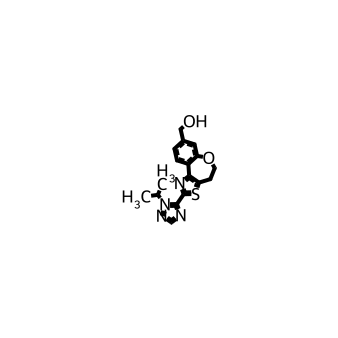 CC(C)n1ncnc1-c1nc2c(s1)CCOc1cc(CO)ccc1-2